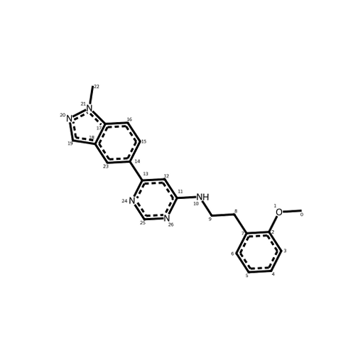 COc1ccccc1CCNc1cc(-c2ccc3c(cnn3C)c2)ncn1